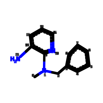 CN(Cc1ccccc1)c1ncccc1N